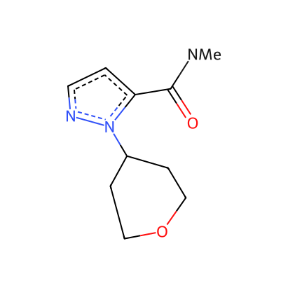 CNC(=O)c1ccnn1C1CCOCC1